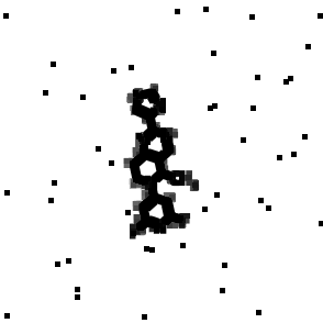 CC1c2cnc(-c3cscn3)nc2CCN1c1cc(F)nc(F)c1